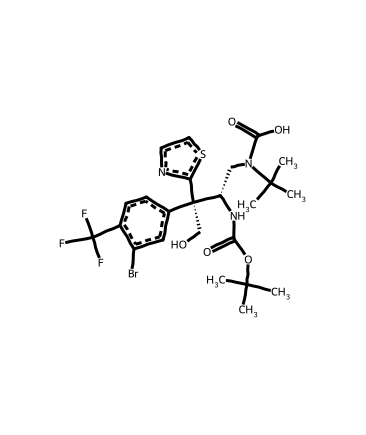 CC(C)(C)OC(=O)N[C@@H](CN(C(=O)O)C(C)(C)C)[C@@](CO)(c1ccc(C(F)(F)F)c(Br)c1)c1nccs1